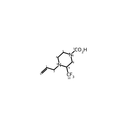 C=CCN1CCN(C(=O)O)CC1C(F)(F)F